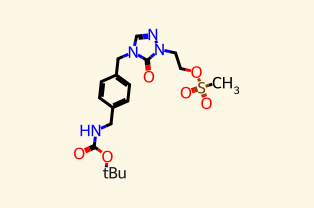 CC(C)(C)OC(=O)NCc1ccc(Cn2cnn(CCOS(C)(=O)=O)c2=O)cc1